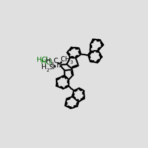 Cl.Cl.[CH3][Ti]([CH3])(=[SiH2])([CH]1C=Cc2c(-c3cccc4ccccc34)cccc21)[CH]1C=Cc2c(-c3cccc4ccccc34)cccc21